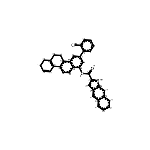 O=C(Oc1cc(-c2ccccc2Cl)cc2c3c(ccc12)C1=C(CCC=C1)CC3)c1cc2cc3ccccc3cc2s1